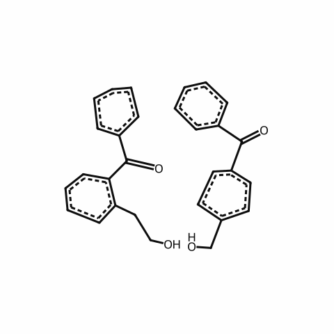 O=C(c1ccccc1)c1ccc(CO)cc1.O=C(c1ccccc1)c1ccccc1CCO